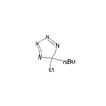 CCCCC1(CC)N=NN=N1